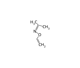 C=CON=C(C)C